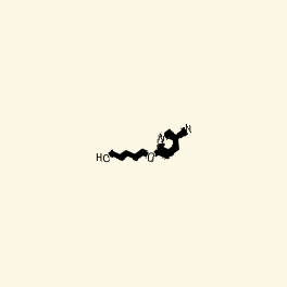 N#Cc1ccc(OCCCCCO)nc1